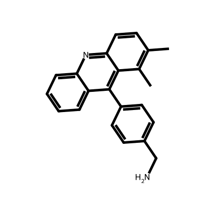 Cc1ccc2nc3ccccc3c(-c3ccc(CN)cc3)c2c1C